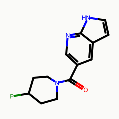 O=C(c1cnc2[nH]ccc2c1)N1CCC(F)CC1